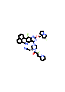 N#CC[C@H]1CN(c2nc(OC[C@@]34CCCN3C[C@H](F)C4)nc3c(F)c(-c4cccc5cccc(C#N)c45)ccc23)CCN1C(=O)/C(F)=C/c1ccccn1